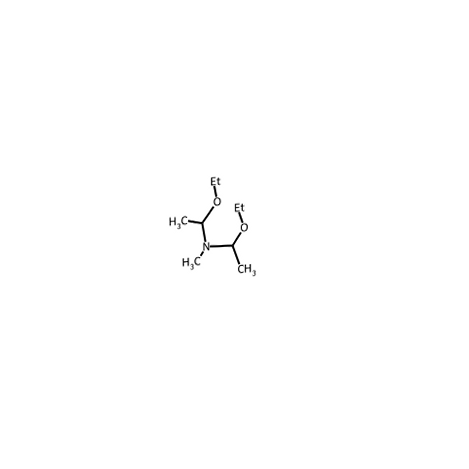 CCOC(C)N(C)C(C)OCC